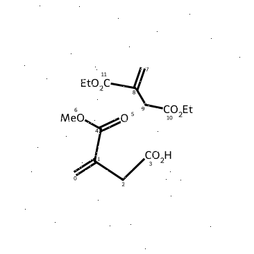 C=C(CC(=O)O)C(=O)OC.C=C(CC(=O)OCC)C(=O)OCC